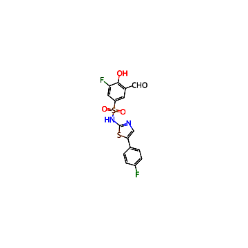 O=Cc1cc(S(=O)(=O)Nc2ncc(-c3ccc(F)cc3)s2)cc(F)c1O